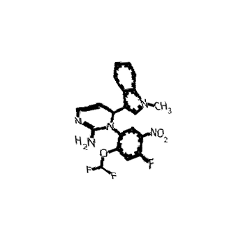 Cn1cc(C2C=CN=C(N)N2c2cc([N+](=O)[O-])c(F)cc2OC(F)F)c2ccccc21